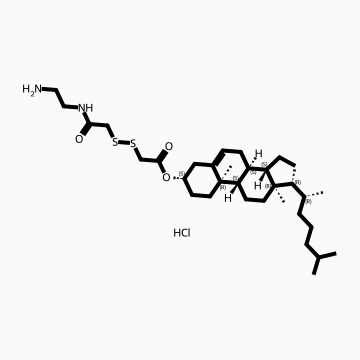 CC(C)CCC[C@@H](C)[C@H]1CC[C@H]2[C@@H]3CC=C4C[C@@H](OC(=O)CSSCC(=O)NCCN)CC[C@]4(C)[C@H]3CC[C@]12C.Cl